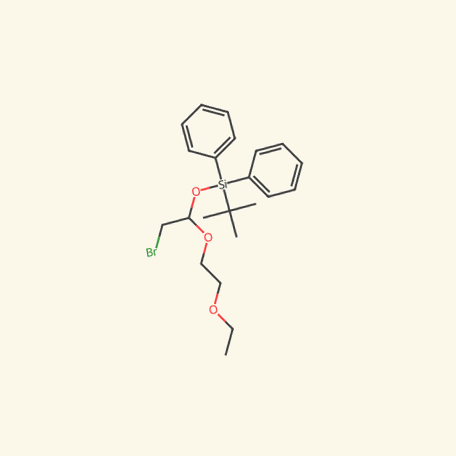 CCOCCOC(CBr)O[Si](c1ccccc1)(c1ccccc1)C(C)(C)C